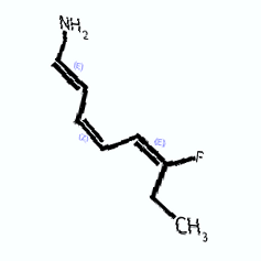 CC\C(F)=C/C=C\C=C\N